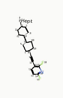 CCCCCCC[C@H]1CC[C@H]([C@H]2CC[C@H](C#Cc3ccc(F)nc3F)CC2)CC1